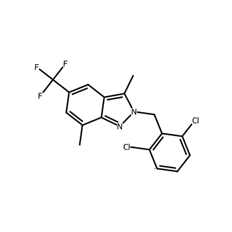 Cc1cc(C(F)(F)F)cc2c(C)n(Cc3c(Cl)[c]ccc3Cl)nc12